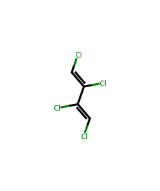 Cl[C]=C(Cl)C(Cl)=CCl